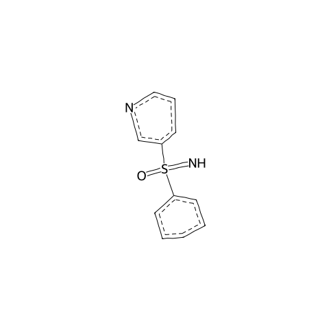 N=S(=O)(c1ccccc1)c1cccnc1